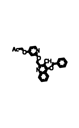 CC(=O)COc1ccnc(OCc2nc3ccccc3c(OCc3ccccc3)c2C)c1